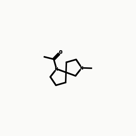 CC(=O)N1CCCC12CCN(C)C2